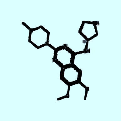 COc1cc2nc(N3CCN(C)CC3)nc(N[C@H]3CCNC3)c2cc1OC